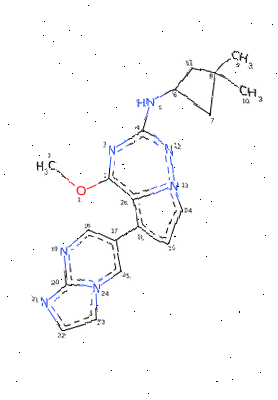 COc1nc(NC2CC(C)(C)C2)nn2ccc(-c3cnc4nccn4c3)c12